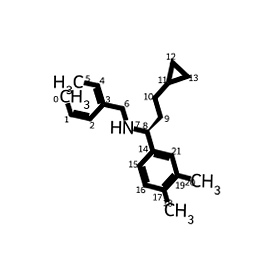 C/C=C\C(=C/C)CN[C@@H](CCC1CC1)c1ccc(C)c(C)c1